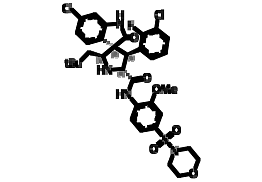 COc1cc(S(=O)(=O)N2CCOCC2)ccc1NC(=O)[C@@H]1N[C@@H](CC(C)(C)C)[C@@]2(C(=O)Nc3cc(Cl)ccc32)[C@H]1c1cccc(Cl)c1F